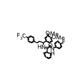 COc1ccc(C(CCc2ccc(C(F)(F)F)cc2)N[C@@H](C(=O)Nc2ccc(F)cc2)c2ccccc2)cc1OC